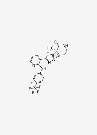 C[C@@]1(c2nnc(-c3cccnc3Nc3ccc(S(F)(F)(F)(F)F)cc3)o2)[SiH2]CCNC1=O